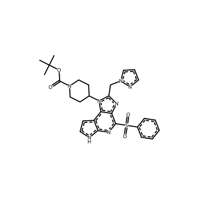 CC(C)(C)OC(=O)N1CCC(n2c(Cn3cccn3)nc3c(S(=O)(=O)c4ccccc4)nc4[nH]ccc4c32)CC1